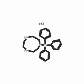 Cl.c1cc[c]([Ti]([c]2ccccc2)([c]2ccccc2)[N]2CCNCCNCC2)cc1